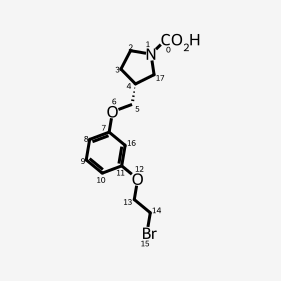 O=C(O)N1CC[C@@H](COc2cccc(OCCBr)c2)C1